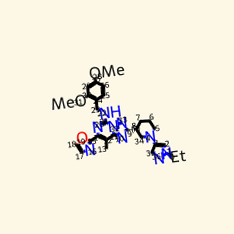 CCn1cc(N2CCC[C@@H](c3nc4c(C)c(-c5ncco5)nc(NCc5ccc(OC)cc5OC)n4n3)C2)cn1